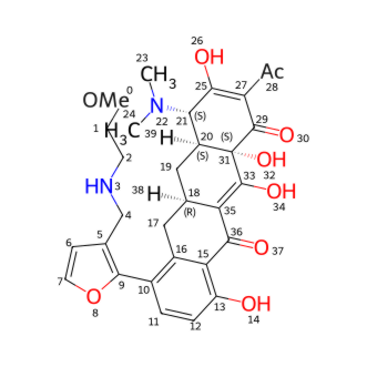 COCCNCc1ccoc1-c1ccc(O)c2c1C[C@H]1C[C@H]3[C@H](N(C)C)C(O)=C(C(C)=O)C(=O)[C@@]3(O)C(O)=C1C2=O